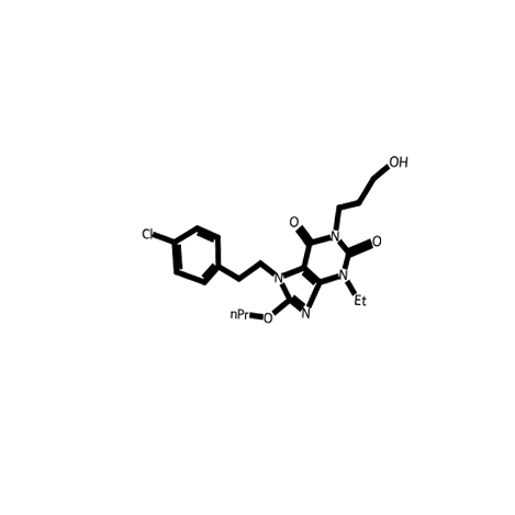 CCCOc1nc2c(c(=O)n(CCCO)c(=O)n2CC)n1CCc1ccc(Cl)cc1